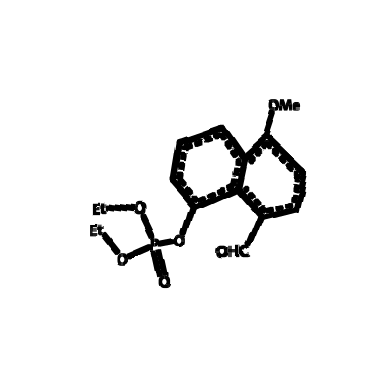 CCOP(=O)(OCC)Oc1cccc2c(OC)ccc(C=O)c12